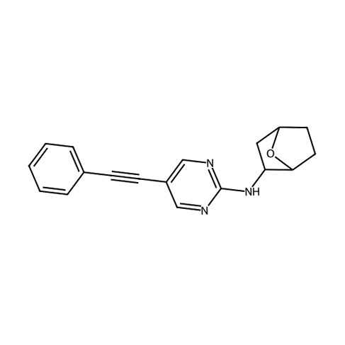 C(#Cc1cnc(NC2CC3CCC2O3)nc1)c1ccccc1